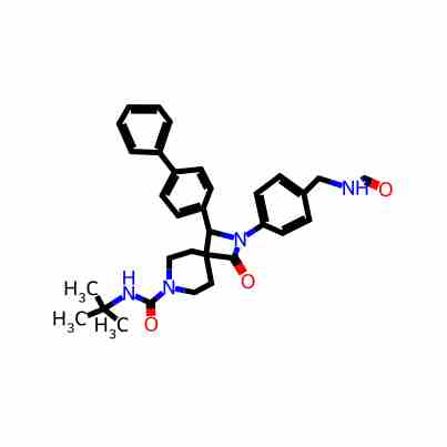 CC(C)(C)NC(=O)N1CCC2(CC1)C(=O)N(c1ccc(CNC=O)cc1)C2c1ccc(-c2ccccc2)cc1